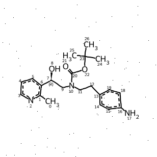 Cc1ncccc1[C@@H](O)CN(CCc1ccc(N)cc1)C(=O)OC(C)(C)C